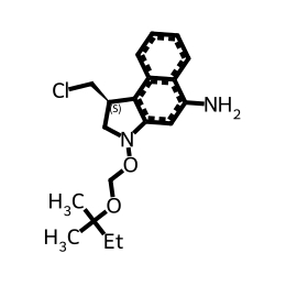 CCC(C)(C)OCON1C[C@@H](CCl)c2c1cc(N)c1ccccc21